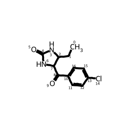 CCC1NC(=O)NC1C(=O)c1ccc(Cl)cc1